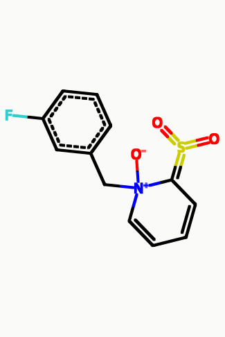 O=S(=O)=C1C=CC=C[N+]1([O-])Cc1cccc(F)c1